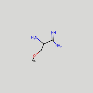 CC(=O)OCC(N)C(=N)N